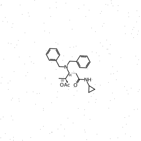 CC(=O)O[C@@H](C)[C@@H](CC(=O)NC1CC1)N(Cc1ccccc1)Cc1ccccc1